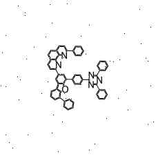 c1ccc(-c2ccc3ccc4ccc(-c5cc(-c6ccc(-c7nc(-c8ccccc8)nc(-c8ccccc8)n7)cc6)c6oc7c(-c8ccccc8)cccc7c6c5)nc4c3n2)cc1